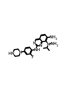 CC(C)N(N)c1c(N)ccc2cnc(Nc3ccc(N4CCNCC4)cc3F)nc12